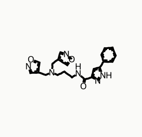 O=C(NCCCN(Cc1cnoc1)Cc1cnoc1)c1cc(-c2ccccc2)[nH]n1